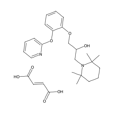 CC1(C)CCCC(C)(C)N1CC(O)COc1ccccc1Oc1ccccn1.O=C(O)C=CC(=O)O